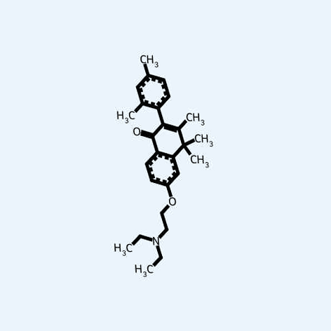 CCN(CC)CCOc1ccc2c(c1)C(C)(C)C(C)=C(c1ccc(C)cc1C)C2=O